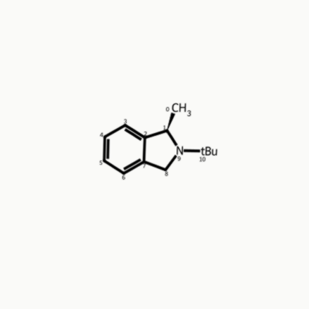 C[C@@H]1c2ccccc2CN1C(C)(C)C